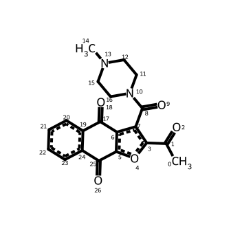 CC(=O)c1oc2c(c1C(=O)N1CCN(C)CC1)C(=O)c1ccccc1C2=O